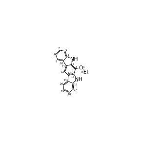 CCOc1c2[nH]c3ccccc3c2cc2c1[nH]c1ccccc12